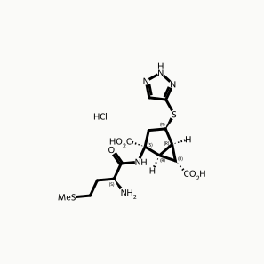 CSCC[C@H](N)C(=O)N[C@@]1(C(=O)O)C[C@@H](Sc2cn[nH]n2)[C@H]2[C@H](C(=O)O)[C@H]21.Cl